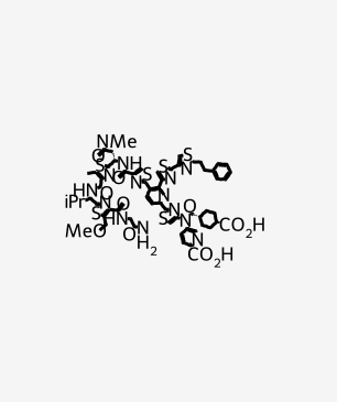 CNC(=O)C[C@H](NC(=O)c1csc(-c2ccc(-c3nc(N(c4ccc(C(=O)O)nc4)C(=O)[C@H]4CC[C@H](C(=O)O)CC4)cs3)nc2-c2csc(-c3csc(CCc4ccccc4)n3)n2)n1)c1nc(C(=O)NC(c2nc(C(=O)NCC(N)=O)c(COC)s2)C(C)C)c(C)s1